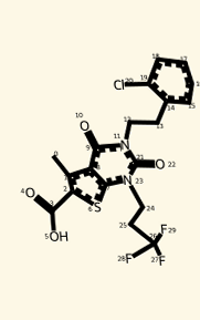 Cc1c(C(=O)O)sc2c1c(=O)n(CCc1ccccc1Cl)c(=O)n2CCC(F)(F)F